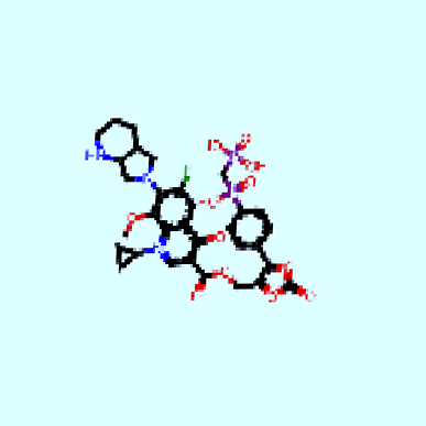 COc1c(N2CC3CCCNC3C2)c(F)cc2c(=O)c(C(=O)OCc3oc(=O)oc3-c3ccc(P(=O)(O)CP(=O)(O)O)cc3)cn(C3CC3)c12